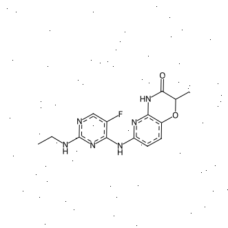 CCNc1ncc(F)c(Nc2ccc3c(n2)NC(=O)C(C)O3)n1